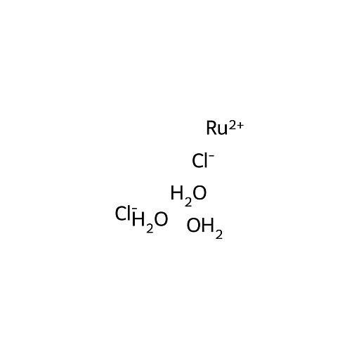 O.O.O.[Cl-].[Cl-].[Ru+2]